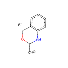 O=CC1Nc2ccccc2CO1.[H+]